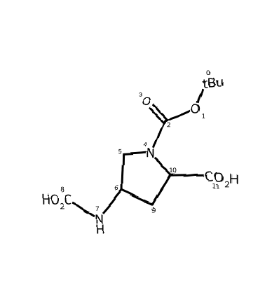 CC(C)(C)OC(=O)N1CC(NC(=O)O)CC1C(=O)O